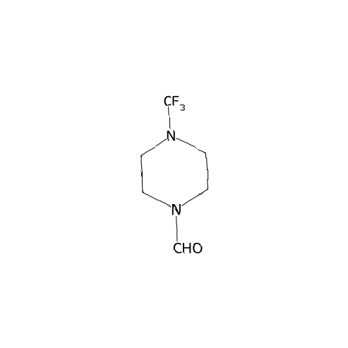 O=CN1CCN(C(F)(F)F)CC1